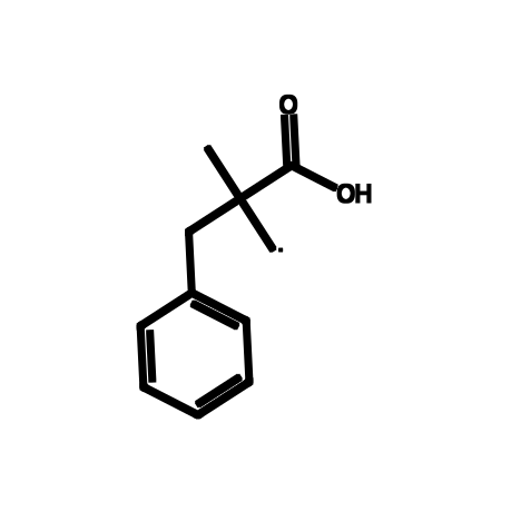 [CH2]C(C)(Cc1ccccc1)C(=O)O